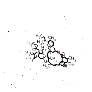 C=CC[C@@]1(NC(=O)OC)[C@H](C)OC(O[C@@H]2/C(C)=C/C[C@@H]3C[C@@H](C[C@]4(C=C[C@H](C)[C@@H](C(C)CC)O4)O3)OC(=O)[C@@H]3C=C(C)[C@@H](O)[C@H]4OC/C(=C\C=C\C2C)[C@]43O)C[C@@H]1OC